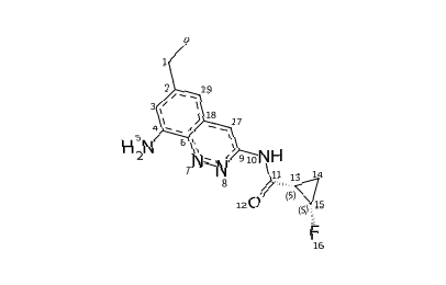 CCc1cc(N)c2nnc(NC(=O)[C@@H]3C[C@@H]3F)cc2c1